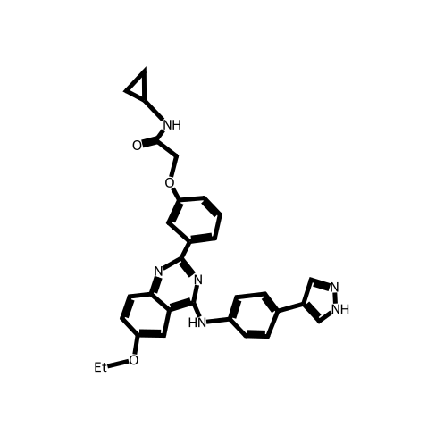 CCOc1ccc2nc(-c3cccc(OCC(=O)NC4CC4)c3)nc(Nc3ccc(-c4cn[nH]c4)cc3)c2c1